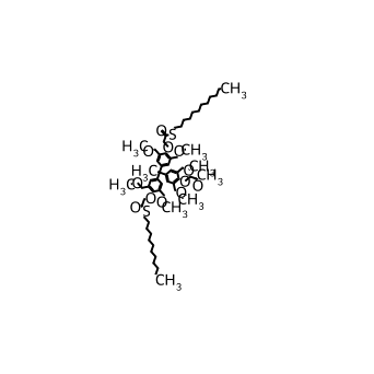 CCCCCCCCCCCCSC(=O)COc1c(COC)cc(C(C)(c2cc(COC)c(OCC(C)=O)c(COC)c2)c2cc(COC)c(OCC(=O)SCCCCCCCCCCCC)c(COC)c2)cc1COC